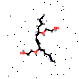 C/C=C/C/C=C(/C#C/C=C(/C/C=C/C)OCCO)OCCO